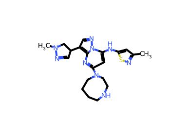 Cc1cc(Nc2cc(N3CCCCNCC3)nc3c(C4C=NN(C)C4)cnn23)sn1